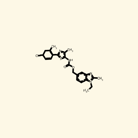 CCn1c(C)nc2cc(COC(=O)Nc3sc(C4=C(C)CC(Cl)C=C4)nc3C)ccc21